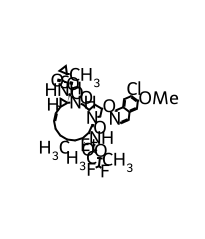 CC[C@@H]1C[C@@H](C)CC/C=C\[C@@H]2C[C@@]2(C(=O)NS(=O)(=O)C2(C)CC2)NC(=O)[C@@H]2C[C@@H](Oc3nccc4cc(OC)c(Cl)cc34)CN2C(=O)[C@H]1NC(=O)OC(C)(C)C(F)F